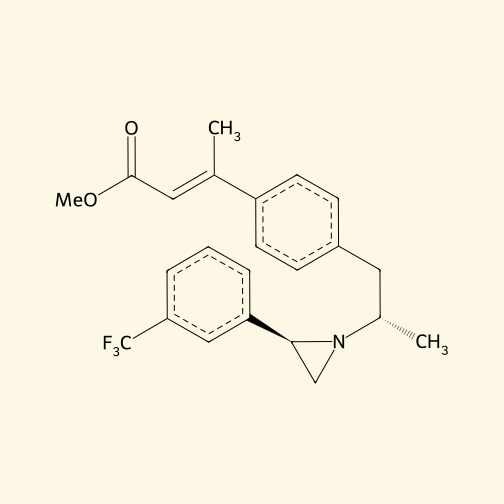 COC(=O)C=C(C)c1ccc(C[C@H](C)N2C[C@H]2c2cccc(C(F)(F)F)c2)cc1